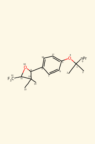 CCCC(C)(C)Oc1ccc(C2OC(C(F)(F)F)C2(C)C)cc1